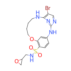 O=S(=O)(NCC1CO1)c1ccc2cc1OCCCCNc1nc(ncc1Br)N2